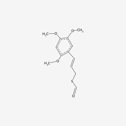 COc1cc(OC)c(OC)cc1/C=C/CSC=O